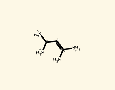 NC(N)=CC(N)N